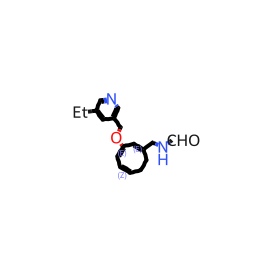 CCc1cncc(COC2=C/C=C\CC/C(CNC=O)=C\2)c1